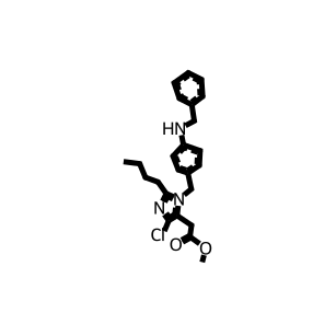 CCCCc1nc(Cl)c(CC(=O)OC)n1Cc1ccc(NCc2ccccc2)cc1